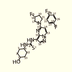 OC1CCC(NC(=S)Nc2cnn3ccc(N4C[C@@H](F)C[C@@H]4c4cc(F)ccc4F)nc23)CC1